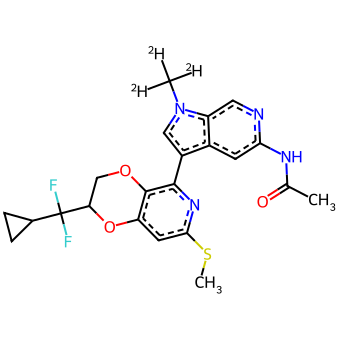 [2H]C([2H])([2H])n1cc(-c2nc(SC)cc3c2OCC(C(F)(F)C2CC2)O3)c2cc(NC(C)=O)ncc21